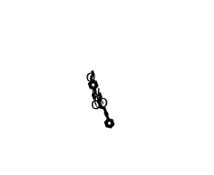 CCOc1ccc(N2CCN(S(=O)(=O)CCC#Cc3ccccc3)CC2)cc1